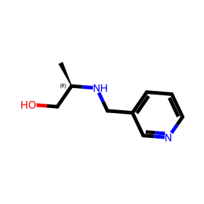 C[C@H](CO)NCc1cccnc1